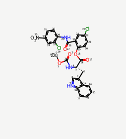 CC(C)(C)OC(=O)N[C@@H](Cc1c[nH]c2ccccc12)C(=O)Oc1ccc(Cl)cc1C(=O)Nc1ccc([N+](=O)[O-])cc1Cl